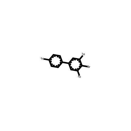 [2H]c1ccc(-c2cc([2H])c(Br)c([2H])c2)cc1